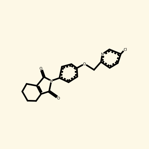 O=C1C2=C(CCCC2)C(=O)N1c1ccc(OCc2ccc(Cl)cn2)cc1